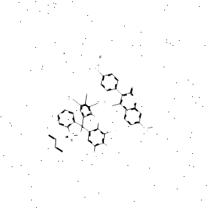 C=CC=C.CCN(CC)c1ccc2c(C)c(-c3ccc(N=C=S)cc3)c(=O)oc2c1.O=S1(=O)OC2(c3ccccc31)c1cc(Br)c(O)c(O)c1Oc1c2cc(Br)c(O)c1O